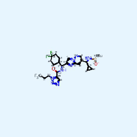 CC(C)(C)[S@+]([O-])NC(c1cnn2cc([C@@H](NC(=O)c3cnnn3CCC(F)(F)F)C3CCC(F)(F)CC3)nc2c1)C1CC1